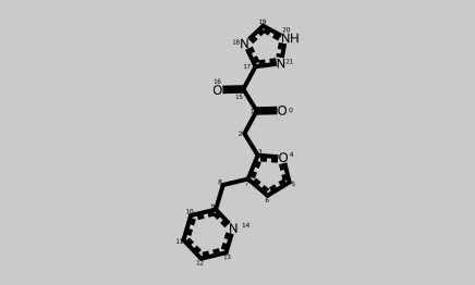 O=C(Cc1occc1Cc1ccccn1)C(=O)c1nc[nH]n1